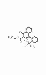 CCOC(=O)c1cn(-c2ccccc2C(C)(C)C)c2ncccc2c1=O